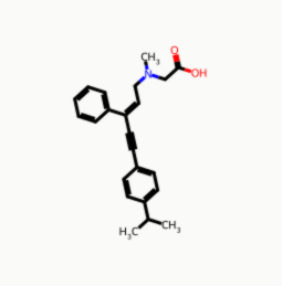 CC(C)c1ccc(C#CC(=CCN(C)CC(=O)O)c2ccccc2)cc1